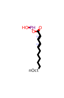 CCCCCCCCCCCCC/C=C/C=C/C(=O)OPO